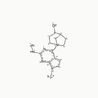 CCCNc1nc([N+]23CCC(O)C(CC2)C3)c2ccn(C)c2n1